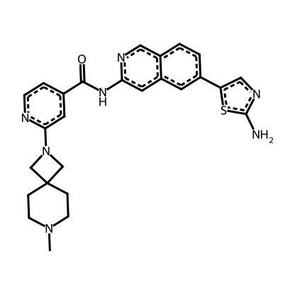 CN1CCC2(CC1)CN(c1cc(C(=O)Nc3cc4cc(-c5cnc(N)s5)ccc4cn3)ccn1)C2